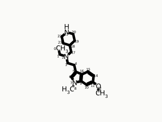 CCN(CCc1cn(C)c2cc(OC)ccc12)CC1CCNCC1